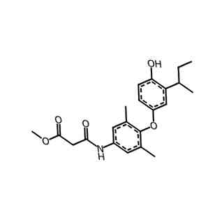 CCC(C)c1cc(Oc2c(C)cc(NC(=O)CC(=O)OC)cc2C)ccc1O